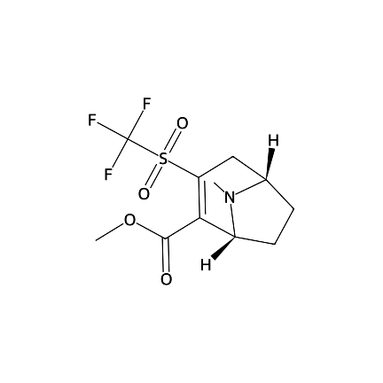 COC(=O)C1=C(S(=O)(=O)C(F)(F)F)C[C@@H]2CC[C@H]1N2C